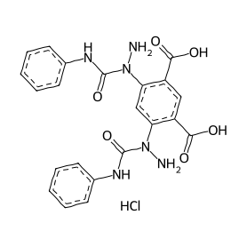 Cl.NN(C(=O)Nc1ccccc1)c1cc(N(N)C(=O)Nc2ccccc2)c(C(=O)O)cc1C(=O)O